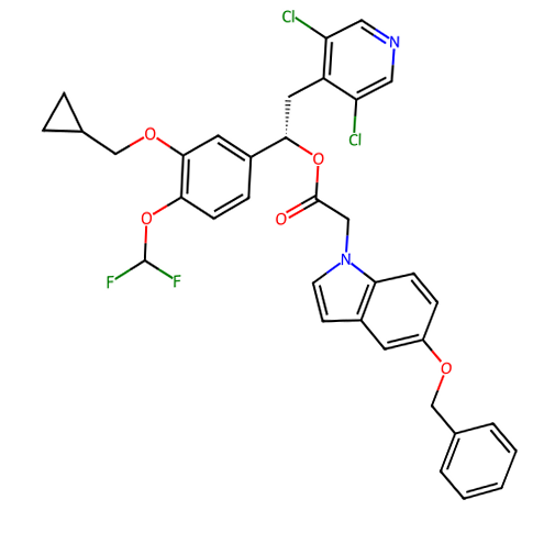 O=C(Cn1ccc2cc(OCc3ccccc3)ccc21)O[C@@H](Cc1c(Cl)cncc1Cl)c1ccc(OC(F)F)c(OCC2CC2)c1